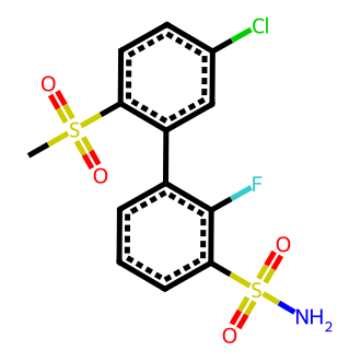 CS(=O)(=O)c1ccc(Cl)cc1-c1cccc(S(N)(=O)=O)c1F